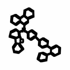 c1ccc(-c2ccccc2-c2ccc(-c3ccc(N(c4cc5ccccc5c5ccccc45)c4cccc5c4oc4ccccc45)cc3)cc2)cc1